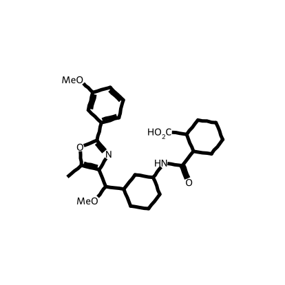 COc1cccc(-c2nc(C(OC)C3CCCC(NC(=O)C4CCCCC4C(=O)O)C3)c(C)o2)c1